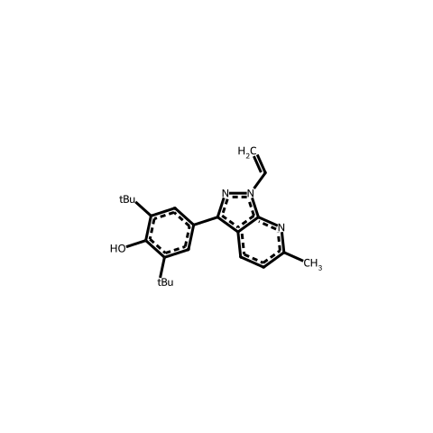 C=Cn1nc(-c2cc(C(C)(C)C)c(O)c(C(C)(C)C)c2)c2ccc(C)nc21